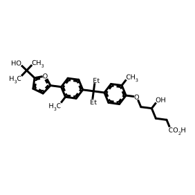 CCC(CC)(c1ccc(OCC(O)CCC(=O)O)c(C)c1)c1ccc(-c2ccc(C(C)(C)O)o2)c(C)c1